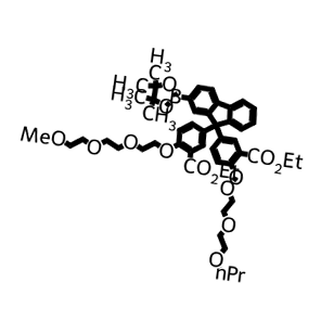 CCCOCCOCCOOc1ccc(C2(c3ccc(OCCOCCOCCOC)c(C(=O)OCC)c3)c3ccccc3-c3ccc(B4OC(C)(C)C(C)(C)O4)cc32)cc1C(=O)OCC